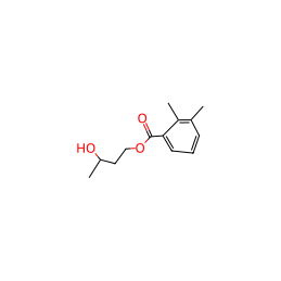 Cc1cccc(C(=O)OCCC(C)O)c1C